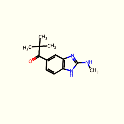 CNc1nc2cc(C(=O)C(C)(C)C)ccc2[nH]1